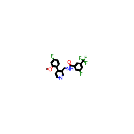 COc1cc(F)ccc1-c1ccncc1CNC(=O)c1cc(F)cc(C(F)(F)F)c1